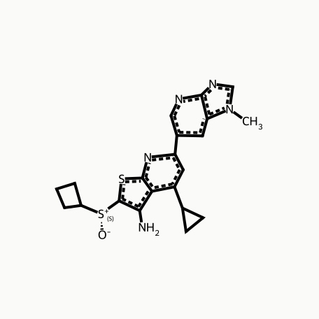 Cn1cnc2ncc(-c3cc(C4CC4)c4c(N)c([S@+]([O-])C5CCC5)sc4n3)cc21